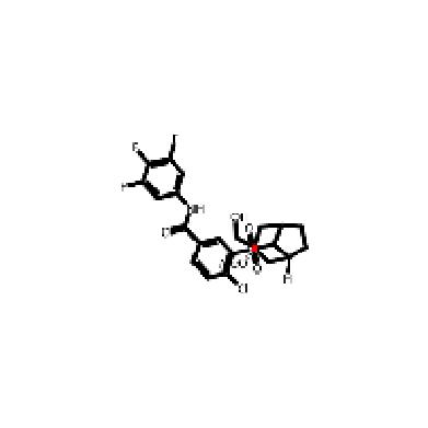 CO[C@]1(CO)CC2CC[C@H](C1)C2S(=O)(=O)c1cc(C(=O)Nc2cc(F)c(F)c(F)c2)ccc1Cl